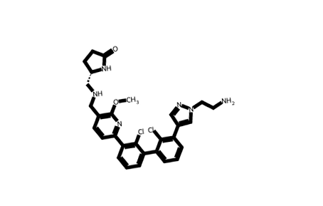 COc1nc(-c2cccc(-c3cccc(-c4cnn(CCN)c4)c3Cl)c2Cl)ccc1CNC[C@@H]1CCC(=O)N1